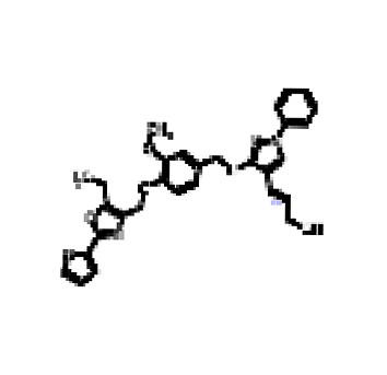 CCc1oc(-c2ccco2)nc1COc1ccc(COc2nn(-c3ccccc3)cc2/C=C/CO)cc1OC